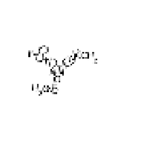 C=CC(=O)N1CCN(c2nc(OC[C@@H]3CCCN3C)nc3c2CCN(c2ccc(F)c4ccccc24)C3)CC1